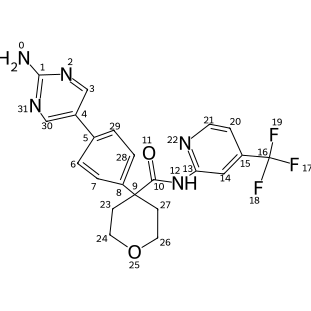 Nc1ncc(-c2ccc(C3(C(=O)Nc4cc(C(F)(F)F)ccn4)CCOCC3)cc2)cn1